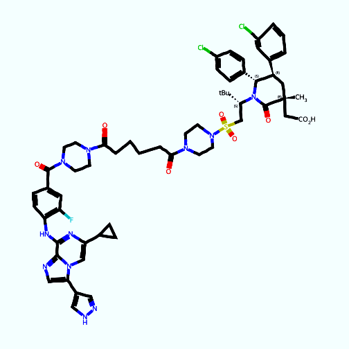 CC(C)(C)[C@@H](CS(=O)(=O)N1CCN(C(=O)CCCCC(=O)N2CCN(C(=O)c3ccc(Nc4nc(C5CC5)cn5c(-c6cn[nH]c6)cnc45)c(F)c3)CC2)CC1)N1C(=O)[C@@](C)(CC(=O)O)C[C@H](c2cccc(Cl)c2)[C@H]1c1ccc(Cl)cc1